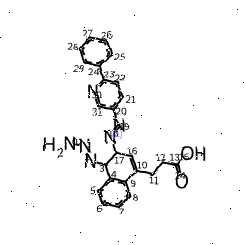 NN=NC1c2ccccc2C(CCC(=O)O)=CC1/N=N/c1ccc(-c2ccccc2)nc1